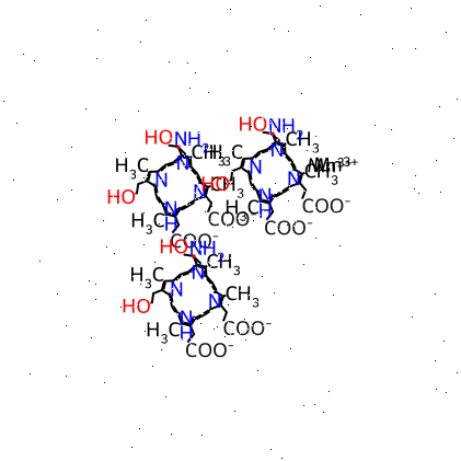 CC1=C(CCO)c2cc3[nH]c(cc4nc(cc5c(C)c(CCO)c(cc1n2)n5CCN)C(C)=C4CCC(=O)[O-])c(CCC(=O)[O-])c3C.CC1=C(CCO)c2cc3[nH]c(cc4nc(cc5c(C)c(CCO)c(cc1n2)n5CCN)C(C)=C4CCC(=O)[O-])c(CCC(=O)[O-])c3C.CC1=C(CCO)c2cc3[nH]c(cc4nc(cc5c(C)c(CCO)c(cc1n2)n5CCN)C(C)=C4CCC(=O)[O-])c(CCC(=O)[O-])c3C.[Mn+3].[Mn+3]